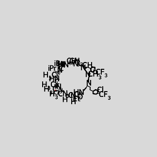 CCO[C@@H]1CNCC2(CCC2)NC(C)[C@H](C2CCCC2)N2C(C)[C@@H](C)C2CNC(C)[C@H](CC(C)C)NC[C@H]([C@@H](C)CC)NC(C)[C@H](C)N2CCCC2=CN(C)C(Cc2ccc(C(F)(F)F)cc2)=CN(C)C=CN=C(CCc2ccc(C(F)(F)F)c(Cl)c2)C=CN1